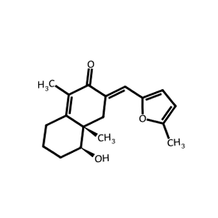 CC1=C2CCC[C@H](O)[C@@]2(C)C/C(=C\c2ccc(C)o2)C1=O